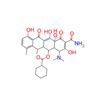 Cc1ccc(O)c2c1C(C)C1C(=C(O)C3(O)C(=O)C(C(N)=O)=C(O)C(N(C)C)C3C1OC(=O)C1CCCCC1)C2=O